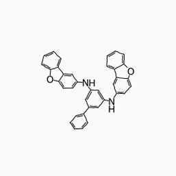 c1ccc(-c2cc(Nc3ccc4oc5ccccc5c4c3)cc(Nc3ccc4oc5ccccc5c4c3)c2)cc1